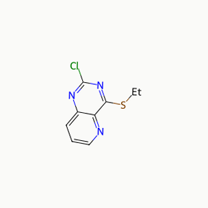 CCSc1nc(Cl)nc2cccnc12